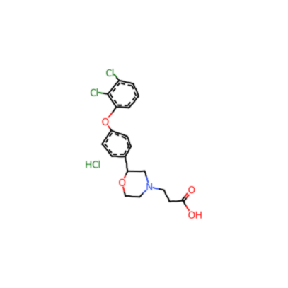 Cl.O=C(O)CCN1CCOC(c2ccc(Oc3cccc(Cl)c3Cl)cc2)C1